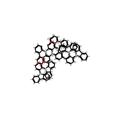 Clc1cc2c3c(c1)N(c1ccccc1-c1ccccc1)c1cc(-c4cccc(-n5c6ccccc6c6ccccc65)c4-n4c5ccccc5c5ccccc54)ccc1B3c1ccc(-c3cccc(-n4c5ccccc5c5ccccc54)c3-n3c4ccccc4c4ccccc43)cc1N2c1ccccc1-c1ccccc1